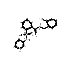 O=C(NCc1ccccc1F)c1ccccc1S(=O)(=O)Nc1cccnc1